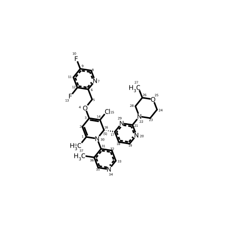 CC1=CC(OCc2ncc(F)cc2F)=C(Cl)[C@H](c2ccnc(N3CCOC(C)C3)n2)N1c1ccncc1C